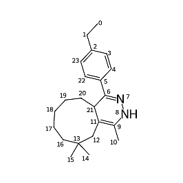 CCc1ccc(C2=NNC(C)=C3CC(C)(C)CCCCCC23)cc1